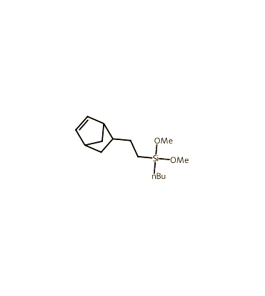 CCCC[Si](CCC1CC2C=CC1C2)(OC)OC